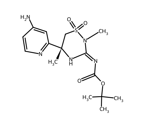 CN1/C(=N/C(=O)OC(C)(C)C)N[C@](C)(c2cc(N)ccn2)CS1(=O)=O